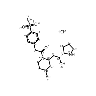 CC(=O)N1CCN(C(=O)Cc2ccc(S(C)(=O)=O)cc2)[C@@H](CC(O)[C@@H]2CCCN2)C1.Cl